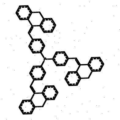 C(=C1c2ccccc2Cc2ccccc21)c1ccc(P(c2ccc(C=C3c4ccccc4Cc4ccccc43)cc2)c2ccc(C=C3c4ccccc4Cc4ccccc43)cc2)cc1